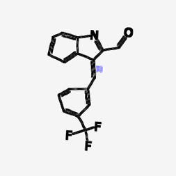 O=CC1=Nc2ccccc2/C1=C\c1cccc(C(F)(F)F)c1